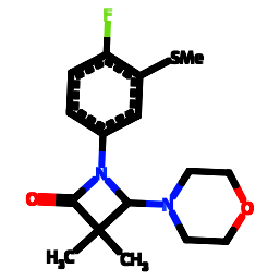 CSc1cc(N2C(=O)C(C)(C)C2N2CCOCC2)ccc1F